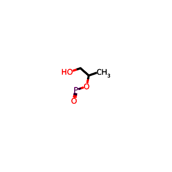 CC(CO)OP=O